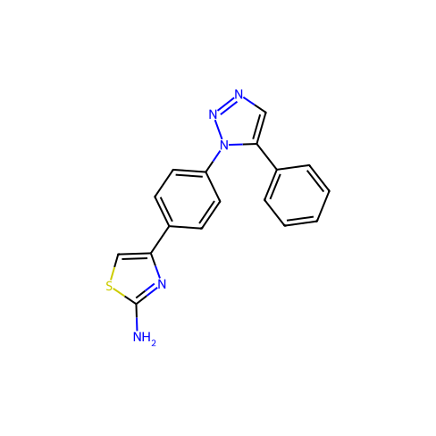 Nc1nc(-c2ccc(-n3nncc3-c3ccccc3)cc2)cs1